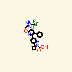 O=C(O)NC1(c2ccc(-c3nc4c(cc3-c3ccccc3)-n3c(nnc3C(F)(F)F)CO4)cc2)CCC1